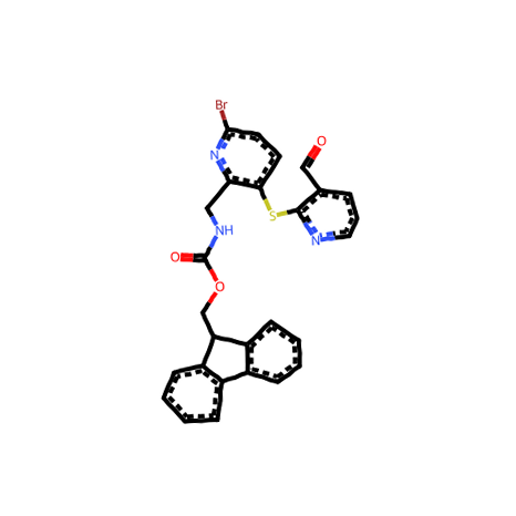 O=Cc1cccnc1Sc1ccc(Br)nc1CNC(=O)OCC1c2ccccc2-c2ccccc21